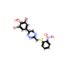 O=[N+]([O-])c1ccccc1SCc1ncc(-c2cc(Br)c(O)c(Br)c2)nn1